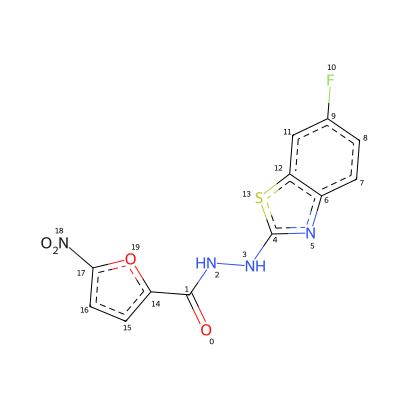 O=C(NNc1nc2ccc(F)cc2s1)c1ccc([N+](=O)[O-])o1